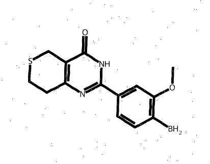 Bc1ccc(-c2nc3c(c(=O)[nH]2)CSCC3)cc1OC